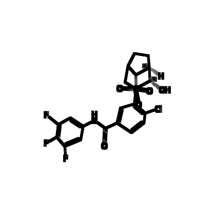 O=C(Nc1cc(F)c(F)c(F)c1)c1ccc(Cl)c(S(=O)(=O)C2C3CC[C@H]2[C@H](O)C(=O)C3)c1